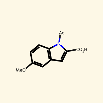 COc1ccc2c(c1)cc(C(=O)O)n2C(C)=O